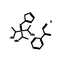 C=CC(=C)c1ccccc1.CCCCC(C)P(=NC1=CC=CC1)(C(C)CCCC)C(C)CCCC.[Ti]